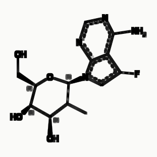 CC1[C@@H](O)[C@@H](O)[C@@H](CO)O[C@H]1n1cc(F)c2c(N)ncnc21